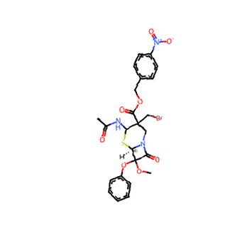 COC1(Oc2ccccc2)C(=O)N2CC(CBr)(C(=O)OCc3ccc([N+](=O)[O-])cc3)C(NC(C)=O)S[C@@H]21